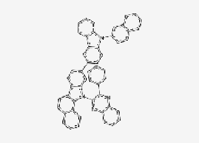 c1ccc(-c2nc3ccccc3nc2-n2c3cc(-c4ccc5c(c4)c4ccccc4n5-c4ccc5ccccc5c4)ccc3c3ccc4ccccc4c32)cc1